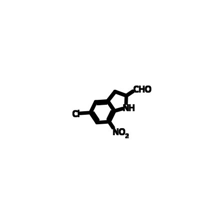 O=CC1Cc2cc(Cl)cc([N+](=O)[O-])c2N1